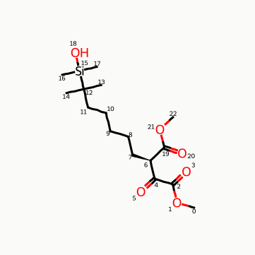 COC(=O)C(=O)[C@@H](CCCCCC(C)(C)[Si](C)(C)O)C(=O)OC